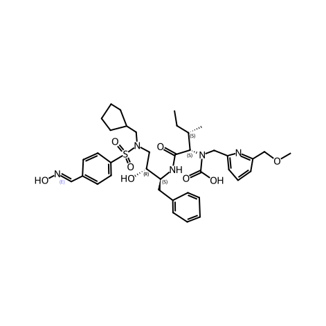 CC[C@H](C)[C@@H](C(=O)N[C@@H](Cc1ccccc1)[C@H](O)CN(CC1CCCC1)S(=O)(=O)c1ccc(/C=N/O)cc1)N(Cc1cccc(COC)n1)C(=O)O